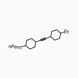 CCCCCC1CCC(C#CC2CCC(CC)CC2)CC1